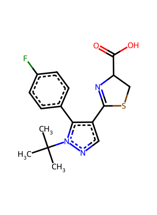 CC(C)(C)n1ncc(C2=NC(C(=O)O)CS2)c1-c1ccc(F)cc1